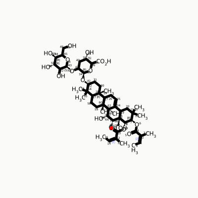 C/C=C(/C)C(=O)O[C@H]1[C@H](OC(=O)/C(C)=C\C)[C@@]2(CO)C(CC1(C)C)C1=CCC3[C@@]4(C)CC[C@H](O[C@@H]5OC(C(=O)O)[C@@H](O)CC5O[C@@H]5OC(CO)[C@H](O)[C@@H](O)C5O)C(C)(C)C4CC[C@@]3(C)[C@]1(C)[C@@H](O)[C@H]2O